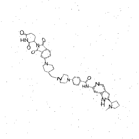 CN1CCC[C@@H]1c1cc2cnc(NC(=O)c3ccc(N4CCN(CC5CCN(c6ccc7c(c6)C(=O)N(C6CCC(=O)NC6=O)C7=O)CC5)CC4)cc3)cc2[nH]1